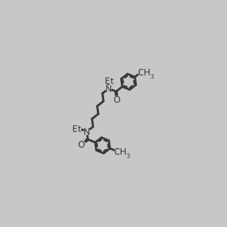 CCN(CCCCCCN(CC)C(=O)c1ccc(C)cc1)C(=O)c1ccc(C)cc1